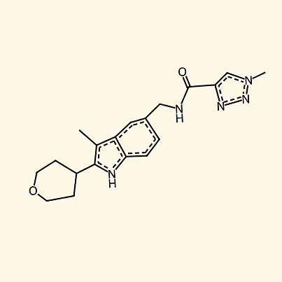 Cc1c(C2CCOCC2)[nH]c2ccc(CNC(=O)c3cn(C)nn3)cc12